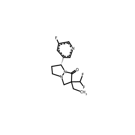 CCC1(C(F)F)CN2CC[C@H](c3cncc(F)c3)N2C1=O